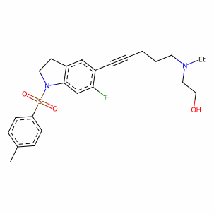 CCN(CCO)CCCC#Cc1cc2c(cc1F)N(S(=O)(=O)c1ccc(C)cc1)CC2